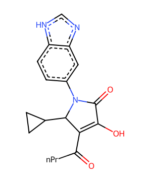 CCCC(=O)C1=C(O)C(=O)N(c2ccc3[nH]cnc3c2)C1C1CC1